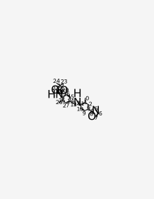 Cc1cc(-c2ncco2)ccc1NCc1ccc(NS(=O)(=O)C(C)C)c(C)c1